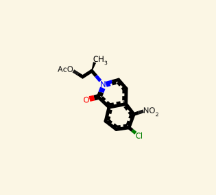 CC(=O)OC[C@@H](C)n1ccc2c([N+](=O)[O-])c(Cl)ccc2c1=O